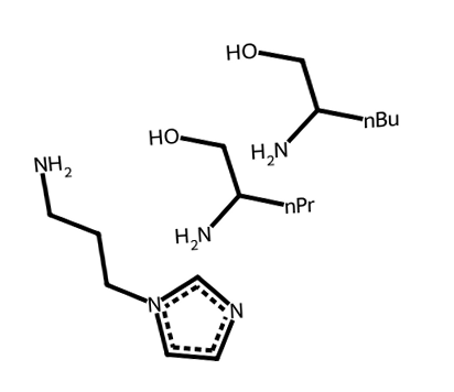 CCCC(N)CO.CCCCC(N)CO.NCCCn1ccnc1